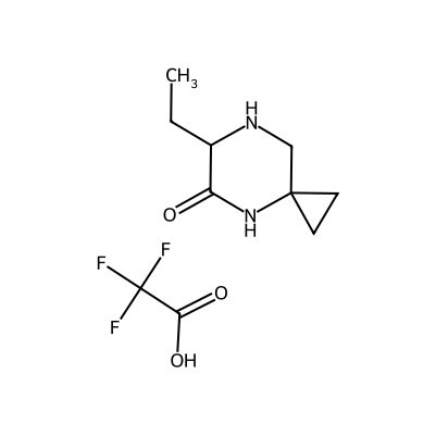 CCC1NCC2(CC2)NC1=O.O=C(O)C(F)(F)F